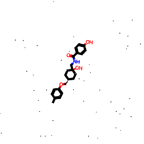 Cc1ccc(OC[C@H]2CC[C@@](O)(CNC(=O)c3ccc(O)cc3)CC2)cc1